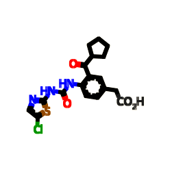 O=C(O)Cc1ccc(NC(=O)Nc2ncc(Cl)s2)c(C(=O)C2CCCC2)c1